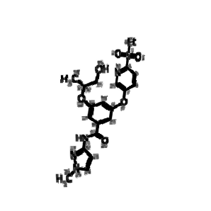 CCS(=O)(=O)c1ccc(Oc2cc(O[C@@H](C)CO)cc(C(=O)Nc3ccn(C)n3)c2)cn1